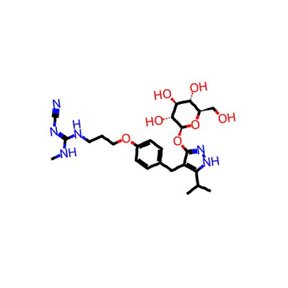 CN/C(=N/C#N)NCCCOc1ccc(Cc2c(O[C@@H]3O[C@H](CO)[C@@H](O)[C@H](O)[C@H]3O)n[nH]c2C(C)C)cc1